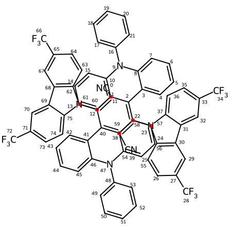 N#Cc1c(-c2ccccc2N(c2ccccc2)c2ccccc2)c(-n2c3ccc(C(F)(F)F)cc3c3cc(C(F)(F)F)ccc32)c(C#N)c(-c2ccccc2N(c2ccccc2)c2ccccc2)c1-n1c2ccc(C(F)(F)F)cc2c2cc(C(F)(F)F)ccc21